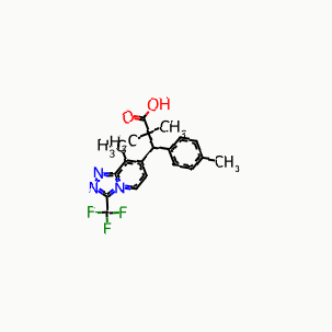 Cc1ccc(C(c2ccn3c(C(F)(F)F)nnc3c2C)C(C)(C)C(=O)O)cc1